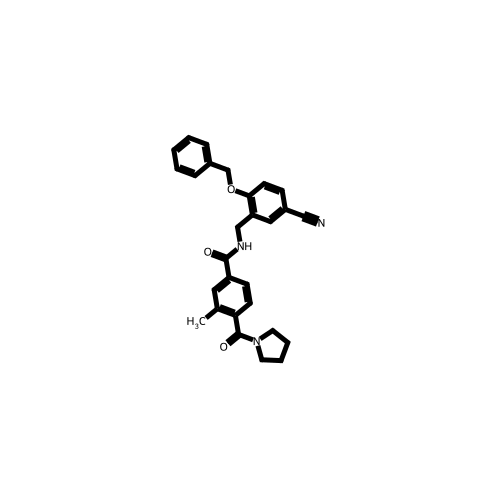 Cc1cc(C(=O)NCc2cc(C#N)ccc2OCc2ccccc2)ccc1C(=O)N1CCCC1